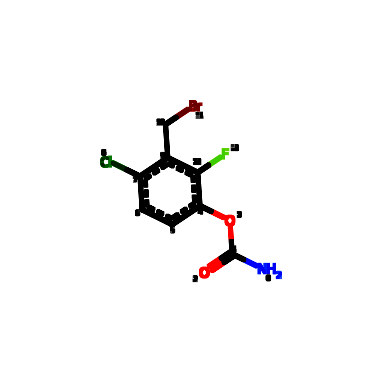 NC(=O)Oc1ccc(Cl)c(CBr)c1F